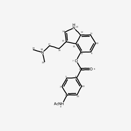 CC(=O)Nc1ccc(C(=O)Oc2cccc3[nH]cc(CCN(C)C)c23)cc1